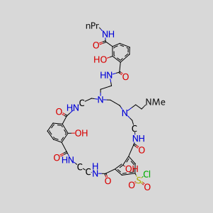 CCCNC(=O)c1cccc(C(=O)NCCN2CCNC(=O)c3cccc(c3O)C(=O)NCCNC(=O)c3cc(S(=O)(=O)Cl)cc(c3O)C(=O)NCCN(CCNC)CC2)c1O